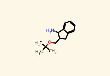 CC(C)(C)OCC1Cc2ccccc2C1N